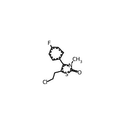 Cn1c(-c2ccc(F)cc2)c(CCCl)sc1=O